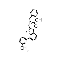 Cc1cccc(-c2cccc3c2OC(CN(Cc2ccccc2)C(=O)O)C3)c1